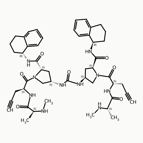 C#CC[C@H](NC(=O)[C@H](C)NC)C(=O)N1C[C@@H](NC(=O)N[C@H]2C[C@@H](C(=O)N[C@@H]3CCCc4ccccc43)N(C(=O)[C@H](CC#C)NC(=O)[C@H](C)NC)C2)C[C@H]1C(=O)N[C@@H]1CCCc2ccccc21